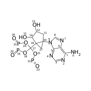 Nc1ncnc2c1ncn2C12CC(O)C(O)C1(C(OP=O)(OP=O)OP=O)C2